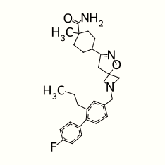 CCCc1cc(CN2CC3(CC(C4CCC(C)(C(N)=O)CC4)=NO3)C2)ccc1-c1ccc(F)cc1